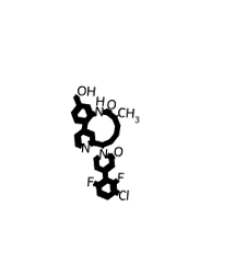 C[C@@H]1CCC[C@H](N2CCC(c3c(F)ccc(Cl)c3F)=CC2=O)c2cc(ccn2)-c2ccc(CO)cc2NC1=O